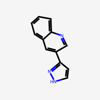 [c]1nc2ccccc2cc1-c1cc[nH]n1